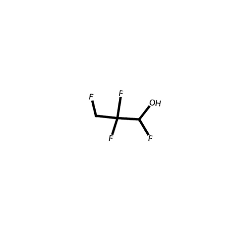 O[C](F)C(F)(F)CF